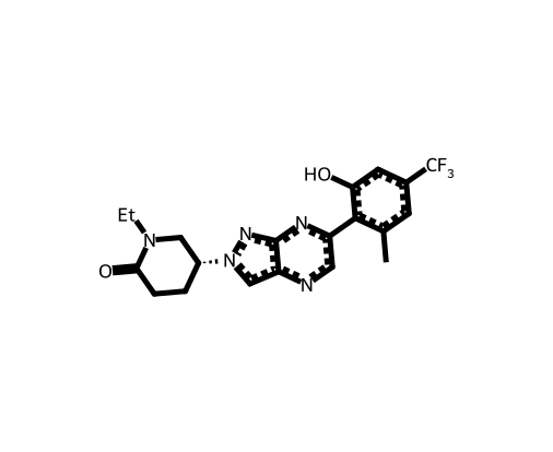 CCN1C[C@H](n2cc3ncc(-c4c(C)cc(C(F)(F)F)cc4O)nc3n2)CCC1=O